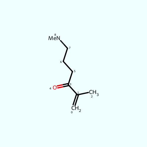 C=C(C)C(=O)CCCNC